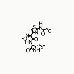 CO/N=C(\C(=O)N[C@H]1C(=O)N[C@H]1CSC)c1csc(NC(=O)CCl)n1